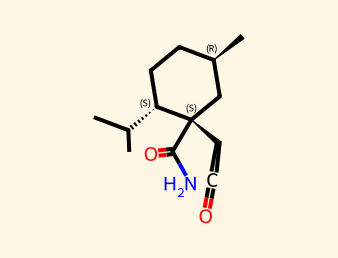 CC(C)[C@@H]1CC[C@@H](C)C[C@]1(C=C=O)C(N)=O